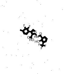 Cc1ccc(-c2csc(NC(=O)c3cccc(C(F)(F)F)c3O)c2C(=O)O)c(F)c1F